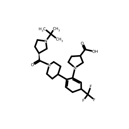 CC(C)(C)N1CC[C@H](C(=O)N2CCC(C3=CCC(C(F)(F)F)C=C3N3CCC(C(=O)O)C3)CC2)C1